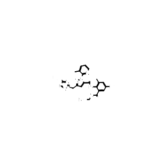 Cc1cc(Br)cc(C(=O)NCC#N)c1NC(=O)c1cc(Cn2nnc(C(F)(F)F)n2)nn1-c1ncccc1Cl